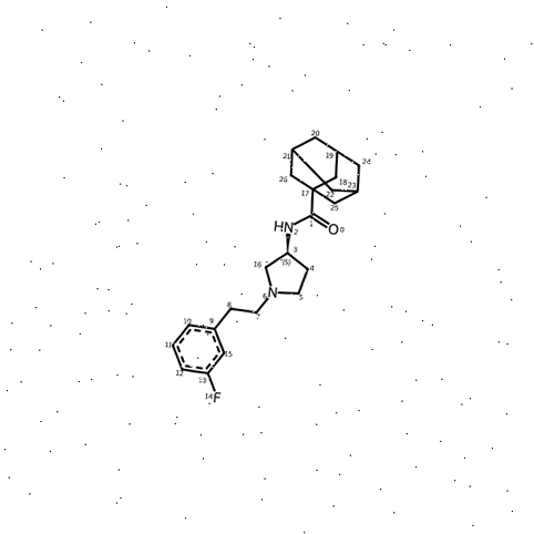 O=C(N[C@H]1CCN(CCc2cccc(F)c2)C1)C12CC3CC(CC(C3)C1)C2